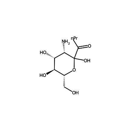 CCCC(=O)C1(O)O[C@H](CO)[C@@H](O)[C@H](O)[C@@H]1N